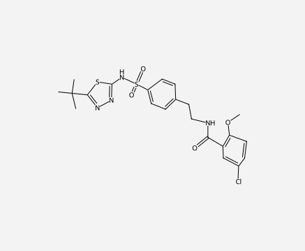 COc1ccc(Cl)cc1C(=O)NCCc1ccc(S(=O)(=O)Nc2nnc(C(C)(C)C)s2)cc1